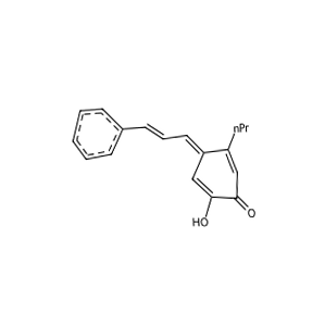 CCCC1=CC(=O)C(O)=CC1=CC=Cc1ccccc1